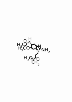 CN(C)C(=O)CCn1c(N)nc2cc3c(cc21)OC(C)(C)C(=O)N3